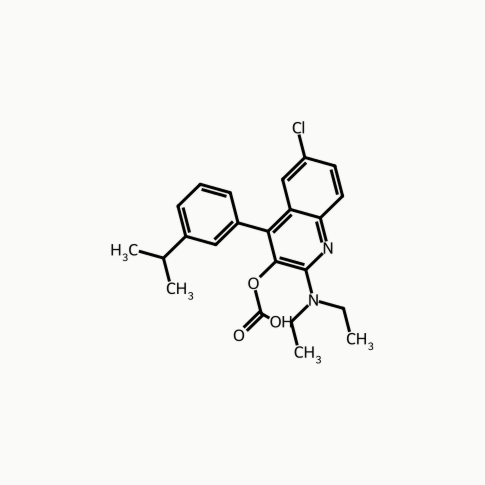 CCN(CC)c1nc2ccc(Cl)cc2c(-c2cccc(C(C)C)c2)c1OC(=O)O